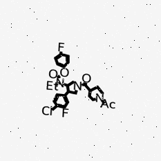 CCN(C(=O)Oc1ccc(F)cc1)C1CN(C(=O)C2CCN(C(C)=O)CC2)CC1c1ccc(Cl)c(F)c1